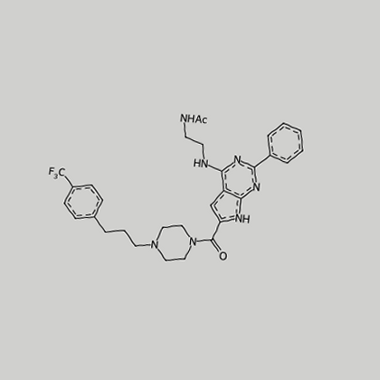 CC(=O)NCCNc1nc(-c2ccccc2)nc2[nH]c(C(=O)N3CCN(CCCc4ccc(C(F)(F)F)cc4)CC3)cc12